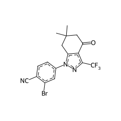 CC1(C)CC(=O)c2c(C(F)(F)F)nn(-c3ccc(C#N)c(Br)c3)c2C1